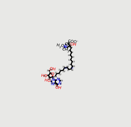 C[N+](C)(C)CC(O)(CCCCCCCC/C=C\C/C=C\CCCCC[C@@]1(n2cnc3c(O)ncnc32)O[C@H](CO)[C@@H](O)[C@H]1O)CC(=O)[O-]